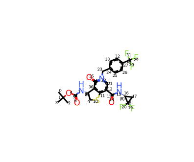 CC(C)(C)OC(=O)N[C@H]1CSc2c(C(=O)N[C@@H]3CC3(F)F)cn(Cc3ccc(C(F)(F)F)cc3)c(=O)c21